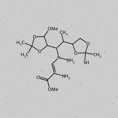 COC(=O)/C(N)=C/N(N)C(C(C)C1COC(C)(S)O1)C1OC(C)(C)OC1OC